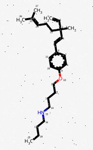 C=CC(C)(/C=C/c1ccc(OCCCCNCCCC)cc1)CCC=C(C)C